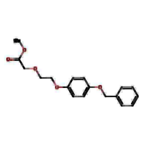 CC(C)(C)OC(=O)COCCOc1ccc(OCc2ccccc2)cc1